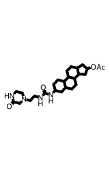 CC(=O)OC1CC2CCC3C4CCC(NC(=O)NCCN5CCNC(=O)C5)CC4CCC3C2C1